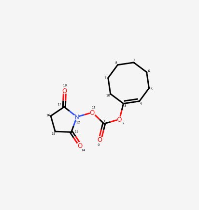 O=C(O/C1=C/CCCCCC1)ON1C(=O)CCC1=O